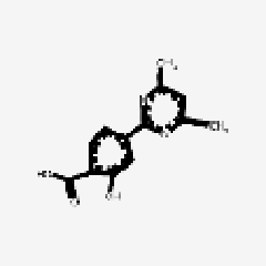 Cc1cc(C)nc(-c2ccc(C(=O)O)c(O)c2)n1